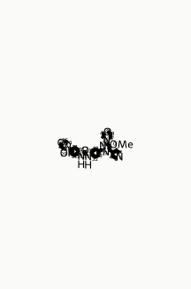 COc1c(-c2ccncc2)nc(-c2ccc(NC(=O)Nc3ccc(N4CCOCC4O)cc3)cc2)nc1N1CCOCC1